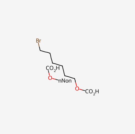 CCCCCCCCCOC(=O)O.O=C(O)OCCCCCCBr